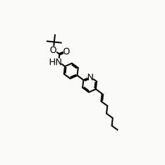 CCCCCC=Cc1ccc(-c2ccc(NC(=O)OC(C)(C)C)cc2)nc1